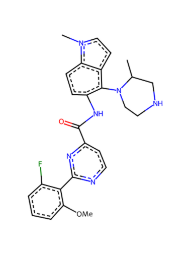 COc1cccc(F)c1-c1nccc(C(=O)Nc2ccc3c(ccn3C)c2N2CCNCC2C)n1